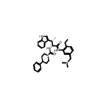 CCc1ccc(CN(C)C)cc1NC(=O)[C@H](NC(=O)N1CCC(c2ccccc2)CC1)[C@@H](C)c1c[nH]c2ccccc12